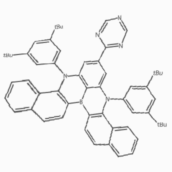 CC(C)(C)c1cc(N2c3cc(-c4ncncn4)cc4c3B(c3ccc5ccccc5c32)c2ccc3ccccc3c2N4c2cc(C(C)(C)C)cc(C(C)(C)C)c2)cc(C(C)(C)C)c1